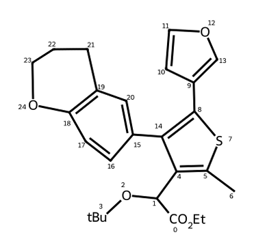 CCOC(=O)C(OC(C)(C)C)c1c(C)sc(-c2ccoc2)c1-c1ccc2c(c1)CCCO2